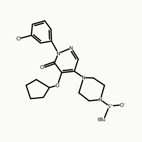 CC(C)(C)[S+]([O-])N1CCN(c2cnn(-c3cccc(Cl)c3)c(=O)c2OC2CCCC2)CC1